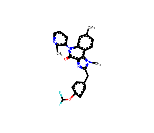 COc1ccc2c3c(nc(Cc4ccc(OC(F)F)cc4)n3C)c(=O)n(-c3cccnc3C)c2c1